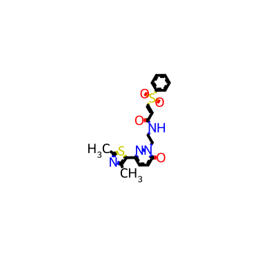 Cc1nc(C)c(-c2ccc(=O)n(CCNC(=O)C=CS(=O)(=O)c3ccccc3)n2)s1